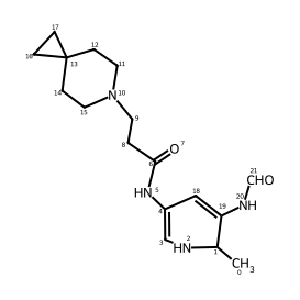 CC1NC=C(NC(=O)CCN2CCC3(CC2)CC3)C=C1NC=O